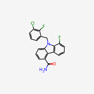 NC(=O)c1cccc2c1c1[c]ccc(F)c1n2Cc1cccc(Cl)c1F